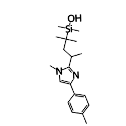 Cc1ccc(-c2cn(C)c(C(C)CC(C)(C)[Si](C)(C)O)n2)cc1